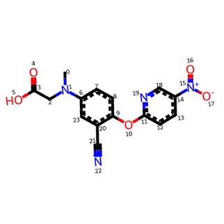 CN(CC(=O)O)c1ccc(Oc2ccc([N+](=O)[O-])cn2)c(C#N)c1